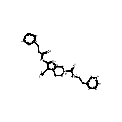 N#Cc1c(NC(=O)CCc2ccccc2)sc2c1CCN(C(=O)NCCc1cccnc1)C2